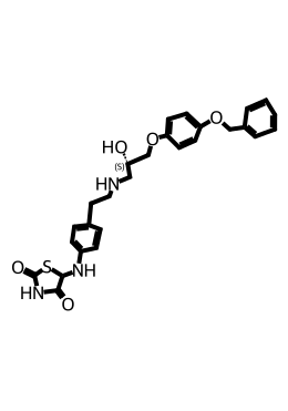 O=C1NC(=O)C(Nc2ccc(CCNC[C@H](O)COc3ccc(OCc4ccccc4)cc3)cc2)S1